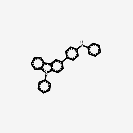 c1ccc(Pc2ccc(-c3ccc4c(c3)c3ccccc3n4-c3ccccc3)cc2)cc1